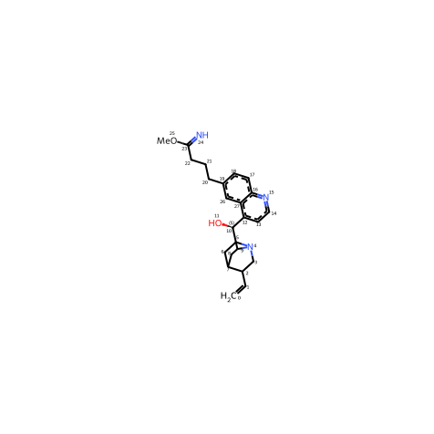 C=CC1CN2CCC1CC2[C@@H](O)c1ccnc2ccc(CCCC(=N)OC)cc12